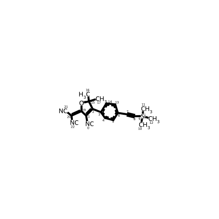 [C-]#[N+]C1=C(c2ccc(C#C[Si](C)(C)C)cc2)C(C)(C)O/C1=C(\C#N)[N+]#[C-]